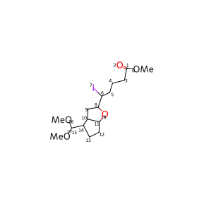 COC(=O)CCCC(I)C1CC2C(CCC2C(OC)OC)O1